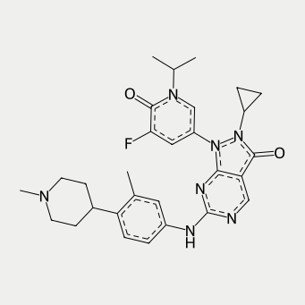 Cc1cc(Nc2ncc3c(=O)n(C4CC4)n(-c4cc(F)c(=O)n(C(C)C)c4)c3n2)ccc1C1CCN(C)CC1